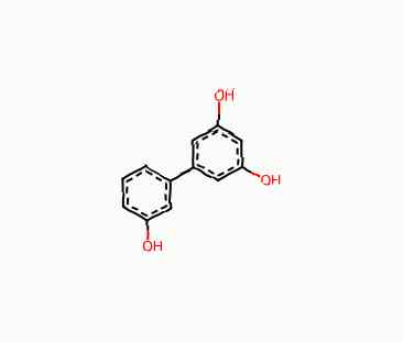 Oc1cccc(-c2cc(O)cc(O)c2)c1